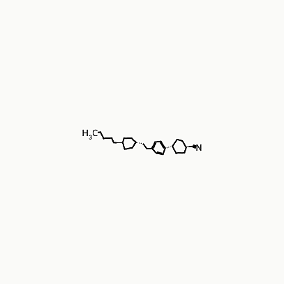 CCCCC[C@H]1CC[C@H](CCc2ccc([C@H]3CC[C@H](C#N)CC3)cc2)CC1